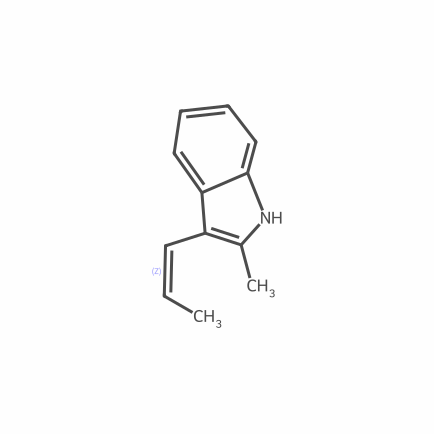 C/C=C\c1c(C)[nH]c2ccccc12